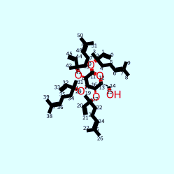 C=CC(C)(CCC=C(C)C)OC1O[C@H](CO)[C@@H](OC(C)(C=C)CCC=C(C)C)[C@H](OC(C)(C=C)CCC=C(C)C)[C@H]1OC(C)(C=C)CCC=C(C)C